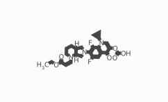 CCOC(=O)/C=C\N1CCC[C@@H]2CN(c3c(F)cc4c(=O)c(OC(=O)O)cn(C5CC5)c4c3F)C[C@H]21